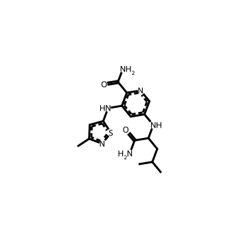 Cc1cc(Nc2cc(NC(CC(C)C)C(N)=O)cnc2C(N)=O)sn1